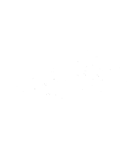 Cc1ccc(Cn2cnc3ccc(-c4ccc(N(C(=O)c5ccccc5)C(=O)c5ccccc5)nc4)cc3c2=O)cc1